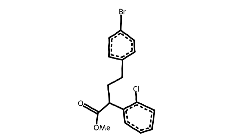 COC(=O)C(CCc1ccc(Br)cc1)c1ccccc1Cl